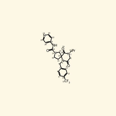 CC(C)N1CC(=O)N(Cc2ccc(C(F)(F)F)cc2)C2(CCN(C(=O)Nc3ccncc3)C2)C1=O